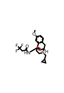 COc1ccc2c(c1)C13CCN(CC4CC4)[C@H](C2)C1OCC(NC(=O)CC(F)(F)F)C3